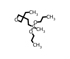 CCCO[Si](C)(CCC1(CC)COC1)OCCC